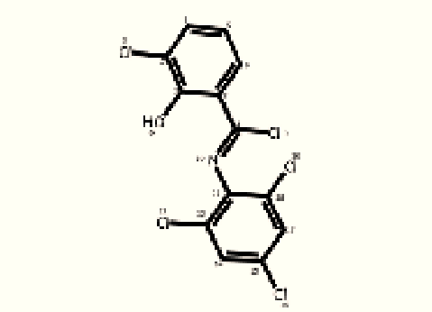 Oc1c(Cl)cccc1C(Cl)=Nc1c(Cl)cc(Cl)cc1Cl